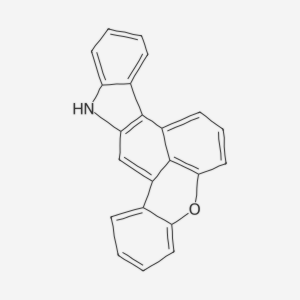 c1ccc2c(c1)Oc1cccc3c1c-2cc1[nH]c2ccccc2c13